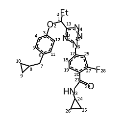 CCC(Oc1ccc(CC2CC2)cc1)c1nnn(-c2ccc(C(=O)NC3CC3)c(F)c2)n1